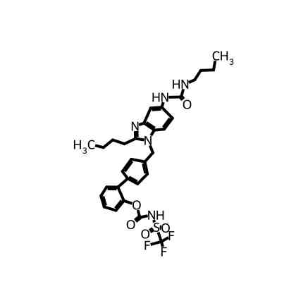 CCCCNC(=O)Nc1ccc2c(c1)nc(CCCC)n2Cc1ccc(-c2ccccc2OC(=O)NS(=O)(=O)C(F)(F)F)cc1